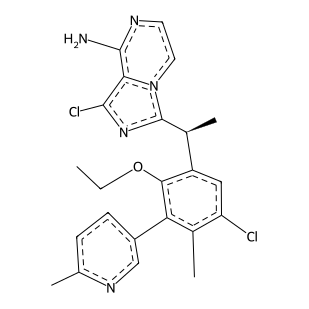 CCOc1c([C@H](C)c2nc(Cl)c3c(N)nccn23)cc(Cl)c(C)c1-c1ccc(C)nc1